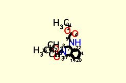 CCOC(=O)CNC1CN(C(=O)OC(C)(C)C)Cc2ccccc21